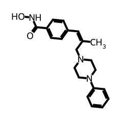 CC(=Cc1ccc(C(=O)NO)cc1)CN1CCN(c2ccccc2)CC1